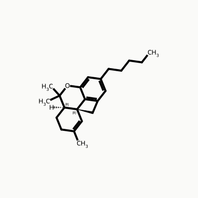 CCCCCc1cc2c3c(c1)OC(C)(C)[C@@H]1CCC(C)=C[C@@]31C2